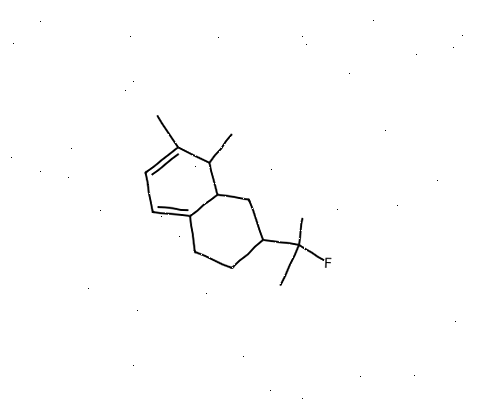 CC1=CC=C2CCC(C(C)(C)F)CC2C1C